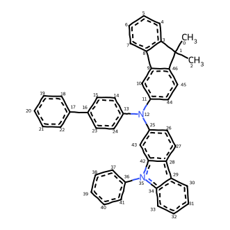 CC1(C)c2ccccc2-c2cc(N(c3ccc(-c4ccccc4)cc3)c3ccc4c5ccccc5n(-c5ccccc5)c4c3)ccc21